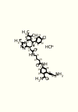 Cc1sc2c(c1C)C(c1ccc(Cl)cc1)=N[C@@H](CC(=O)NCCCC(=O)Nc1ccc(C(N)=O)c(C#CCN)c1)c1nnc(C)n1-2.Cl